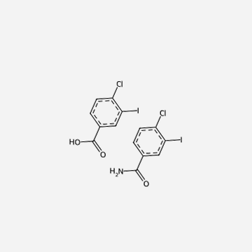 NC(=O)c1ccc(Cl)c(I)c1.O=C(O)c1ccc(Cl)c(I)c1